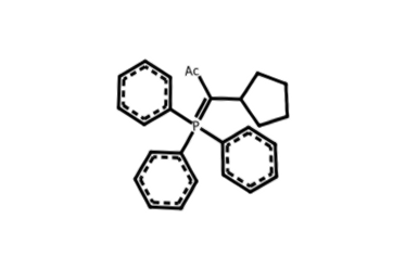 CC(=O)C(C1CCCC1)=P(c1ccccc1)(c1ccccc1)c1ccccc1